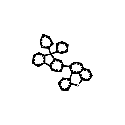 c1ccc(C2(c3ccccc3)c3ccccc3-c3ccc(-c4ccc5cccc6c5c4-c4ccccc4S6)cc32)cc1